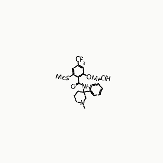 COc1cc(C(F)(F)F)cc(SC)c1C(=O)NC1(c2ccccc2)CCCN(C)C1.Cl